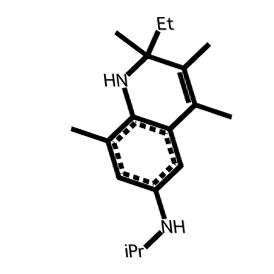 CCC1(C)Nc2c(C)cc(NC(C)C)cc2C(C)=C1C